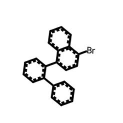 Brc1ccc(-c2ccccc2-c2ccccc2)c2ccccc12